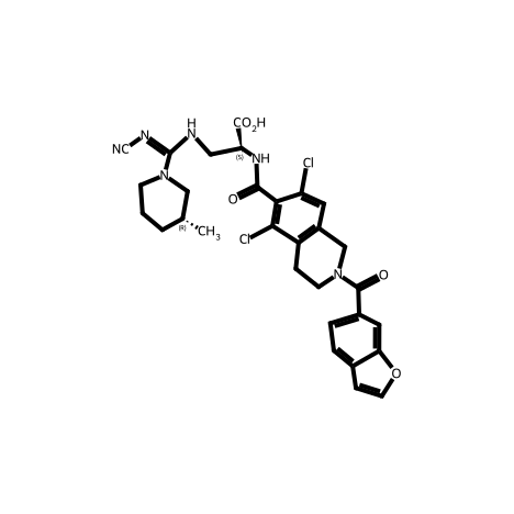 C[C@@H]1CCCN(C(=NC#N)NC[C@H](NC(=O)c2c(Cl)cc3c(c2Cl)CCN(C(=O)c2ccc4ccoc4c2)C3)C(=O)O)C1